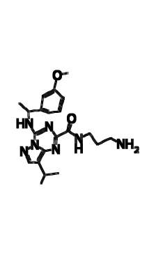 COc1cccc(C(C)Nc2nc(C(=O)NCCCN)nc3c(C(C)C)cnn23)c1